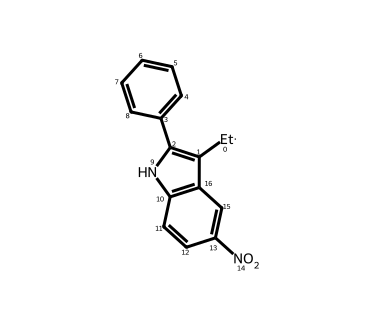 C[CH]c1c(-c2ccccc2)[nH]c2ccc([N+](=O)[O-])cc12